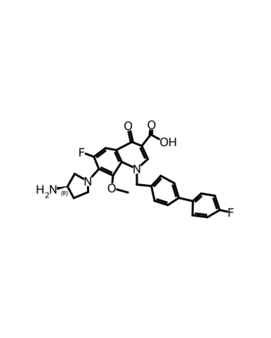 COc1c(N2CC[C@@H](N)C2)c(F)cc2c(=O)c(C(=O)O)cn(Cc3ccc(-c4ccc(F)cc4)cc3)c12